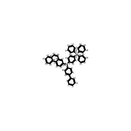 c1ccc(-c2ccc(N(c3ccc([Si](c4ccccc4)(c4ccccc4)c4ccccc4)cc3)c3ccc4c(ccc5ccccc54)c3)cc2)cc1